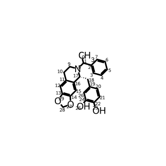 CC(c1ccccc1)N1CCc2cc3c(cc2[C@H]1Cc1ccc(O)c(O)c1)OCO3